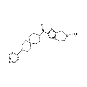 O=C(O)N1CCn2cc(C(=O)N3CCC4(CC3)CCN(c3ccncc3)CC4)nc2C1